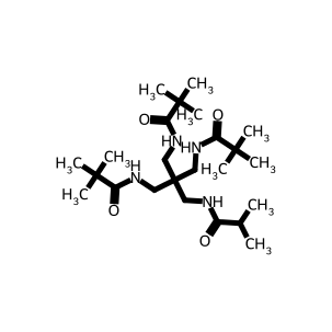 CC(C)C(=O)NCC(CNC(=O)C(C)(C)C)(CNC(=O)C(C)(C)C)CNC(=O)C(C)(C)C